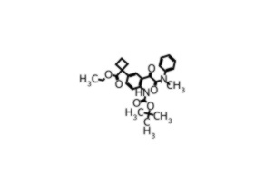 CCOC(=O)C1(c2ccc(NC(=O)OC(C)(C)C)c(C(=O)C(=O)N(C)c3ccccc3)c2)CCC1